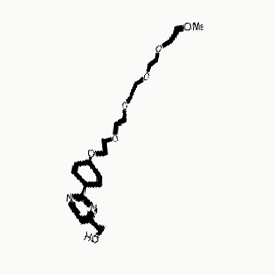 COCCOCCOCCOCCOCCO[C@H]1CC[C@@H](c2nccc(CO)n2)CC1